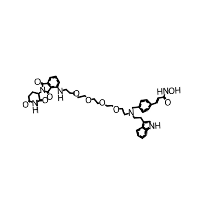 O=C(/C=C/c1ccc(CN(CCOCCOCCOCCOCCNc2cccc3c2C(=O)N(C2CCC(=O)NC2=O)C3=O)CCc2c[nH]c3ccccc23)cc1)NO